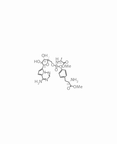 COC(=O)[C@H](C)N[P@](=O)(OC[C@@]1(C)O[C@@H](c2ccc3c(N)ncnn23)[C@H](O)[C@@H]1O)Oc1ccc(C[C@H](N)C(=O)OC)cc1